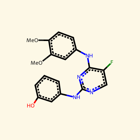 COc1ccc(Nc2nc(Nc3cccc(O)c3)ncc2F)cc1OC